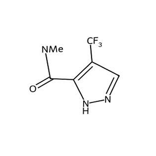 CNC(=O)c1[nH]ncc1C(F)(F)F